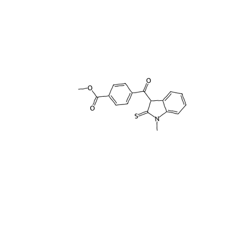 COC(=O)c1ccc(C(=O)C2C(=S)N(C)c3ccccc32)cc1